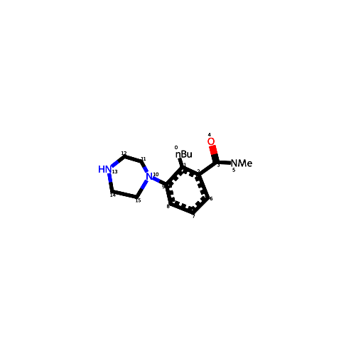 CCCCc1c(C(=O)NC)cccc1N1CCNCC1